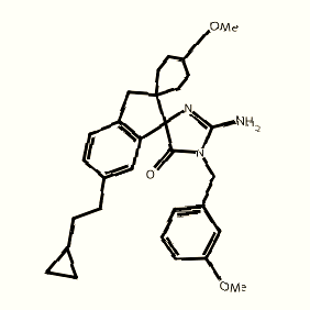 COc1cccc(CN2C(=O)C3(N=C2N)c2cc(CCC4CC4)ccc2CC32CCC(OC)CC2)c1